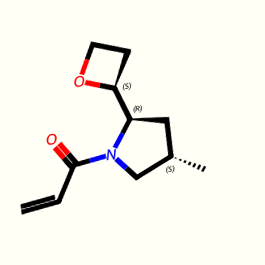 C=CC(=O)N1C[C@@H](C)C[C@@H]1[C@@H]1CCO1